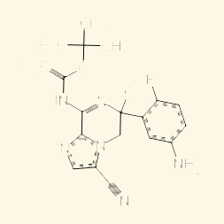 C=C(NC1=NC(C)(c2cc(N)ccc2F)Cn2c(C#N)cnc21)OC(C)(C)C